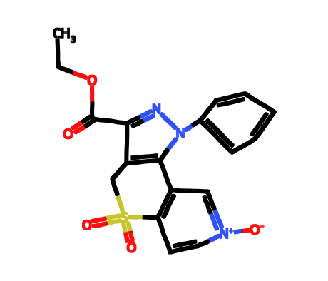 CCOC(=O)c1nn(-c2ccccc2)c2c1CS(=O)(=O)c1cc[n+]([O-])cc1-2